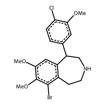 COc1cc(C2CNCCc3c2cc(OC)c(OC)c3Br)ccc1Cl